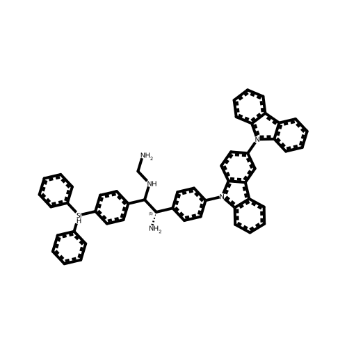 NCNC(c1ccc([SiH](c2ccccc2)c2ccccc2)cc1)[C@@H](N)c1ccc(-n2c3ccccc3c3cc(-n4c5ccccc5c5ccccc54)ccc32)cc1